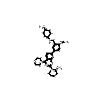 COc1ccc(-c2ccc3c(N4CCOCC4)nc(N4CCOC[C@@H]4C)nc3n2)cc1CNC1CCC(C)CC1